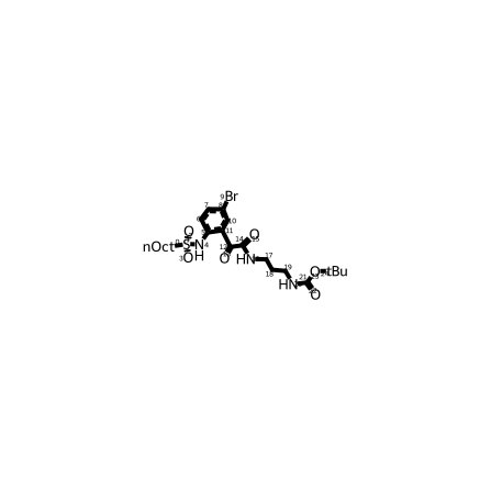 CCCCCCCCS(=O)(=O)Nc1ccc(Br)cc1C(=O)C(=O)NCCCNC(=O)OC(C)(C)C